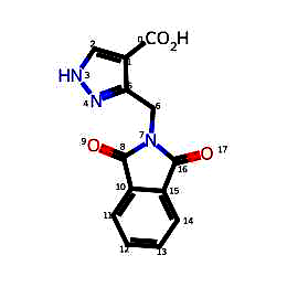 O=C(O)c1c[nH]nc1CN1C(=O)c2ccccc2C1=O